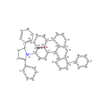 C1=CC(C2CC=C(c3ccccc3)N2c2ccc(-c3c4cccc(-c5ccccc5)c4cc4cccc(-c5ccccc5)c34)cc2)=CCC1